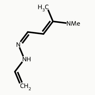 C=CN/N=C\C=C(/C)NC